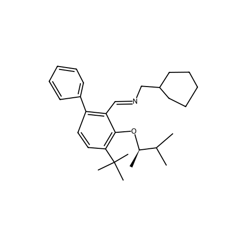 CC(C)[C@@H](C)Oc1c(C(C)(C)C)ccc(-c2ccccc2)c1/C=N/CC1CCCCC1